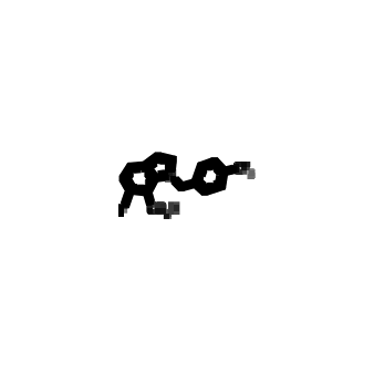 O=C(O)c1c(F)ccc2ccn(Cc3ccc(C(F)(F)F)cc3)c12